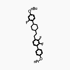 CCCCOc1ccc(C2CCC(CCc3ccc(-c4ccc(OCCC)cc4)c(F)c3F)CC2)c(F)c1